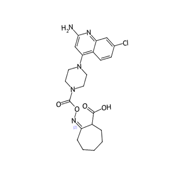 Nc1cc(N2CCN(C(=O)O/N=C3/CCCCCC3C(=O)O)CC2)c2ccc(Cl)cc2n1